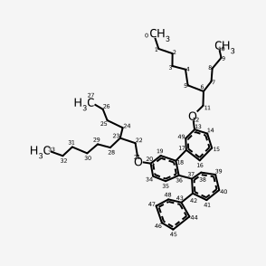 CCCCCCC(CCCC)COc1cccc(-c2cc(OCC(CCCC)CCCCCC)ccc2-c2ccccc2-c2ccccc2)c1